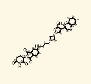 Cc1nn([C@H]2C[C@@H](CCCNc3ccc4c(c3)C(=O)N(C3CCC(=O)NC3=O)C4=O)C2)cc1-c1cnc2ccccc2n1